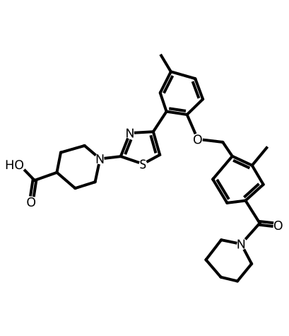 Cc1ccc(OCc2ccc(C(=O)N3CCCCC3)cc2C)c(-c2csc(N3CCC(C(=O)O)CC3)n2)c1